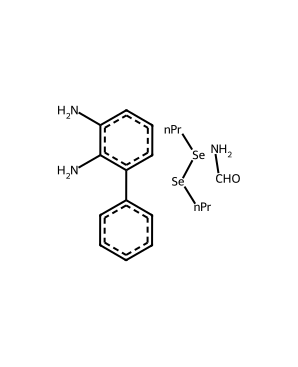 CCC[Se][Se]CCC.NC=O.Nc1cccc(-c2ccccc2)c1N